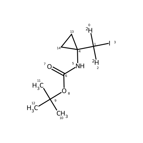 [2H]C([2H])(I)C1(NC(=O)OC(C)(C)C)CC1